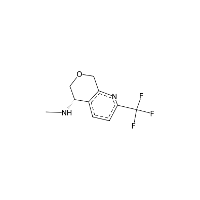 CN[C@@H]1COCc2nc(C(F)(F)F)ccc21